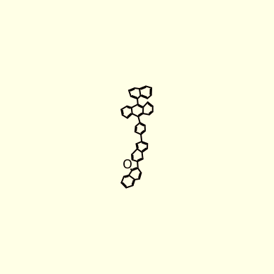 c1ccc2c(-c3c4ccccc4c(-c4ccc(-c5ccc6cc7c(cc6c5)oc5c6ccccc6ccc75)cc4)c4ccccc34)cccc2c1